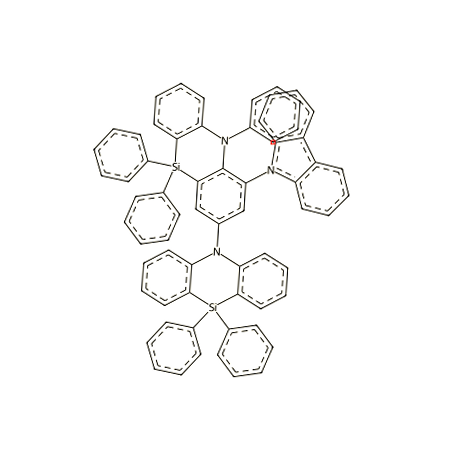 c1ccc(N2c3ccccc3[Si](c3ccccc3)(c3ccccc3)c3cc(N4c5ccccc5[Si](c5ccccc5)(c5ccccc5)c5ccccc54)cc(-n4c5ccccc5c5ccccc54)c32)cc1